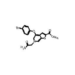 COC(=O)c1cc2c(s1)=CN(CC(N)=O)CC=2Oc1ccc(Br)cc1